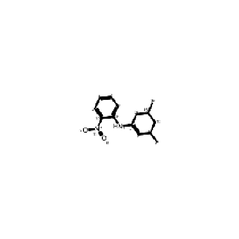 CC1C=C(Nc2ccccc2[N+](=O)[O-])CC(C)C1